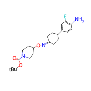 CC(C)(C)OC(=O)N1CCC(ON=C2CCC(c3ccc(N)c(F)c3)CC2)CC1